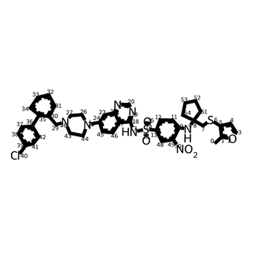 Cc1occc1SCC1(Nc2ccc(S(=O)(=O)Nc3ncnc4cc(N5CCN(Cc6ccccc6-c6ccc(Cl)cc6)CC5)ccc34)cc2[N+](=O)[O-])CCCC1